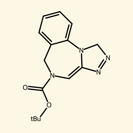 CC(C)(C)OC(=O)N1C=C2N=NCN2c2ccccc2C1